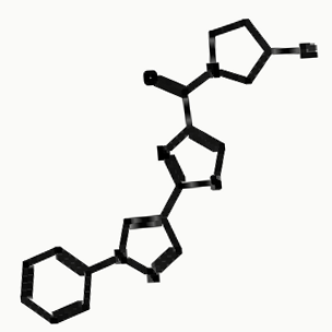 CCC1CCN(C(=O)c2csc(-c3cnn(-c4ccccc4)c3)n2)C1